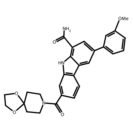 COc1cccc(-c2cc(C(N)=O)c3[nH]c4cc(C(=O)N5CCC6(CC5)OCCO6)ccc4c3c2)c1